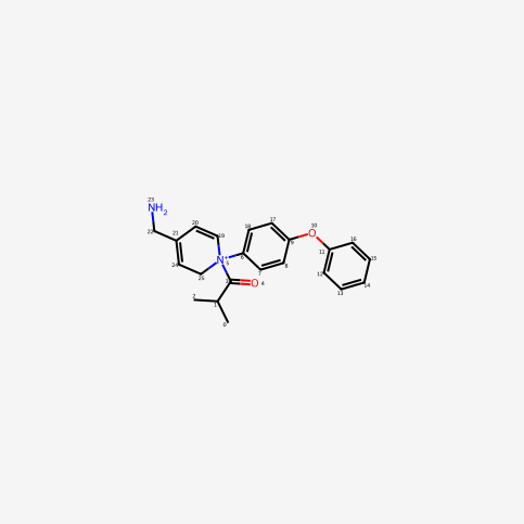 CC(C)C(=O)[N+]1(c2ccc(Oc3ccccc3)cc2)C=CC(CN)=CC1